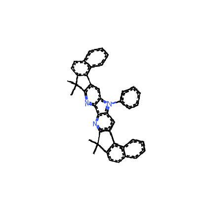 CC1(C)c2ccc3ccccc3c2-c2cc3c(nc21)c1nc2c(cc1n3-c1ccccc1)-c1c(ccc3ccccc13)C2(C)C